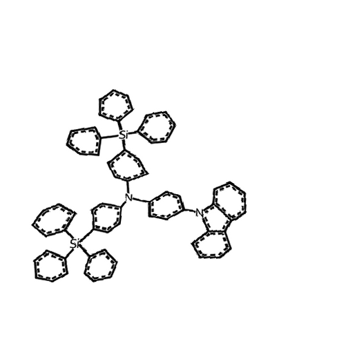 c1ccc([Si](c2ccccc2)(c2ccccc2)c2ccc(N(c3ccc(-n4c5ccccc5c5ccccc54)cc3)c3ccc([Si](c4ccccc4)(c4ccccc4)c4ccccc4)cc3)cc2)cc1